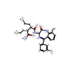 CC(C)c1cccc2c1NC(=O)C(NC(=O)[C@H](CCC(F)(F)F)[C@H](CCC(F)(F)F)C(N)=O)N=C2c1cccc(Cl)c1